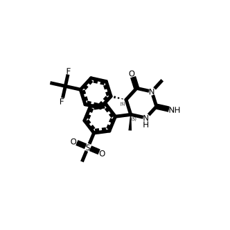 CN1C(=N)N[C@](C)(c2cccc(S(C)(=O)=O)c2)[C@H](c2ccc(C(C)(F)F)cc2)C1=O